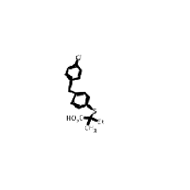 CCC(C)(Sc1ccc(Cc2ccc(Cl)cc2)cc1)C(=O)O